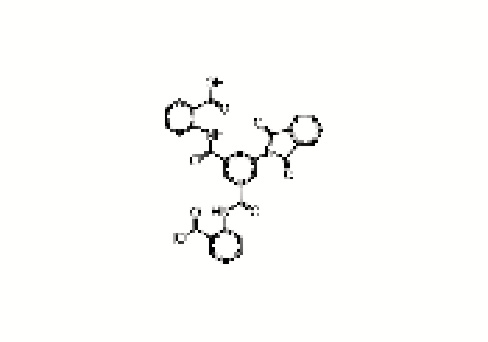 O=C(Nc1ccccc1C(=O)O)c1cc(C(=O)Nc2ccccc2C(=O)O)cc(N2C(=O)c3ccccc3C2=O)c1